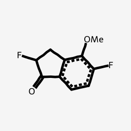 COc1c(F)ccc2c1CC(F)C2=O